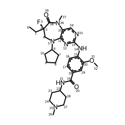 CC[C@@]1(F)CN(C2CCCC2)c2nc(Nc3ccc(C(=O)NC4CCN(C)CC4)cc3OC)ncc2N(C)C1=O